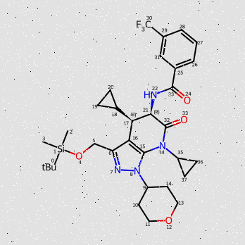 CC(C)(C)[Si](C)(C)OCc1nn(C2CCOCC2)c2c1[C@@H](C1CC1)[C@@H](NC(=O)c1cccc(C(F)(F)F)c1)C(=O)N2C1CC1